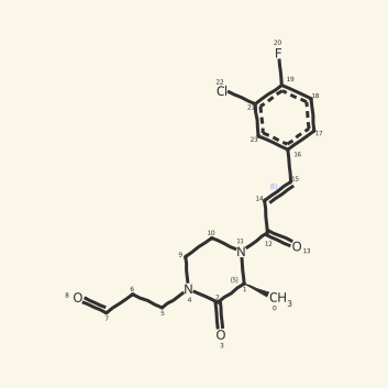 C[C@H]1C(=O)N(CCC=O)CCN1C(=O)/C=C/c1ccc(F)c(Cl)c1